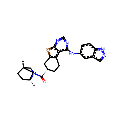 O=C([C@H]1CCc2c(sc3ncnc(Nc4ccc5[nH]ncc5c4)c23)C1)N1C[C@H]2CC[C@H]1C2